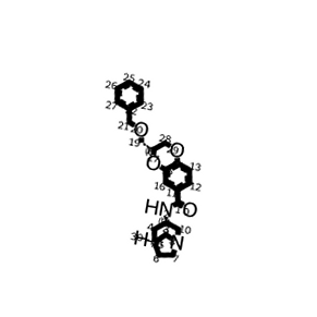 O=C(N[C@@H]1C[C@@H]2CCN(C2)C1)c1ccc2c(c1)O[C@H](COCc1ccccc1)CO2